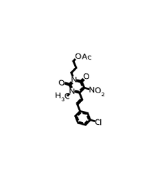 CC(=O)OCCCn1c(=O)c([N+](=O)[O-])c(C=Cc2cccc(Cl)c2)n(C)c1=O